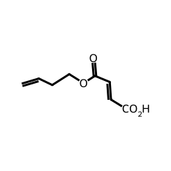 C=CCCOC(=O)C=CC(=O)O